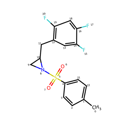 Cc1ccc(S(=O)(=O)N2CC2Cc2cc(F)c(F)cc2F)cc1